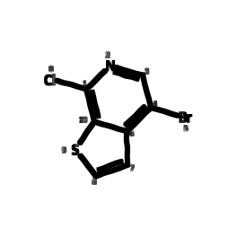 Clc1ncc(Br)c2c[c]sc12